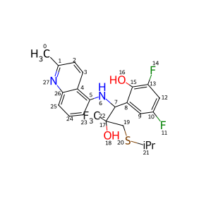 Cc1ccc2c(NC(c3cc(F)cc(F)c3O)C(O)(CSC(C)C)C(F)(F)F)cccc2n1